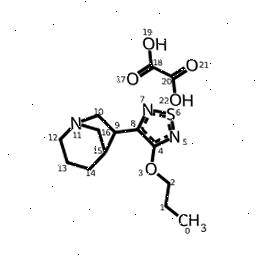 CCCOc1nsnc1C1CN2CCCC1C2.O=C(O)C(=O)O